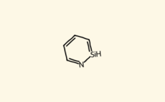 c1cc[siH]nc1